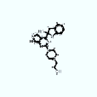 NC1(c2nc(N3CCN(CCO)CC3)nc3[nH]ncc23)Cc2ccccc2O1